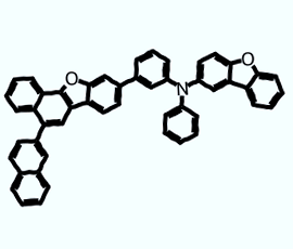 c1ccc(N(c2cccc(-c3ccc4c(c3)oc3c5ccccc5c(-c5ccc6ccccc6c5)cc43)c2)c2ccc3oc4ccccc4c3c2)cc1